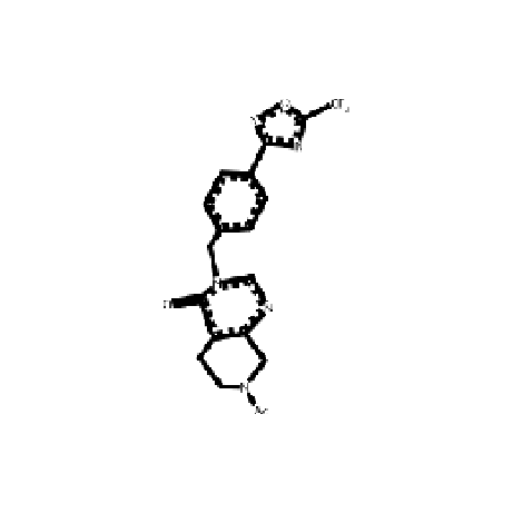 CC(=O)N1CCc2c(ncn(Cc3ccc(-c4noc(C(F)(F)F)n4)cc3)c2=O)C1